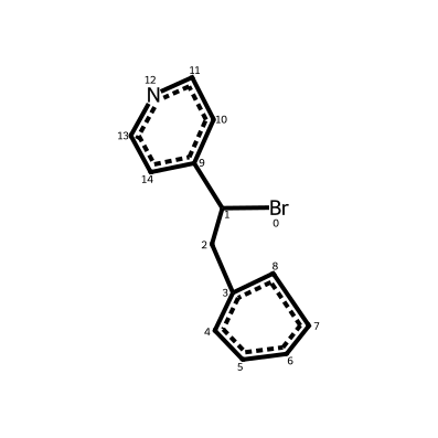 BrC(Cc1ccccc1)c1ccncc1